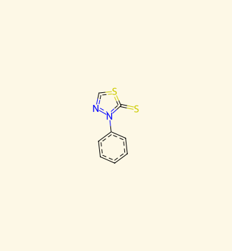 S=c1scnn1-c1ccccc1